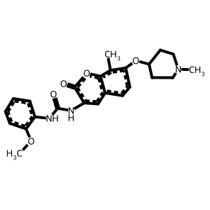 COc1ccccc1NC(=O)Nc1cc2ccc(OC3CCN(C)CC3)c(C)c2oc1=O